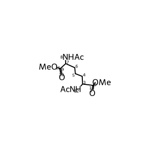 COC(=O)C(CCCC(NC(C)=O)C(=O)OC)NC(C)=O